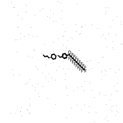 CCCC[C@H]1CC[C@H](CCc2ccc(C(=O)C(F)(F)C(F)(F)C(F)(F)C(F)(F)C(F)(F)C(F)(F)C(F)(F)C(F)(F)F)cc2)CC1